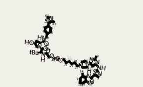 Cc1nc(Nc2ncc(C(=O)Nc3c(C)cccc3Cl)s2)cc(N2CCN(CCCCCCOCCOCC(=O)N[C@H](C(=O)N3C[C@H](O)C[C@H]3C(=O)NCc3ccc(-c4scnc4C)cc3)C(C)(C)C)CC2)n1